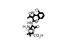 Cc1onc(-c2c(Cl)cccc2Cl)c1C(=O)N[C@@H]1C(=O)N2[C@@H](C(=O)O)C(C)(C)S[C@]12N